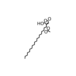 CCCCCCCCCCCCCCCCCCC(OC(C)=O)C1=CC(=O)OC1O